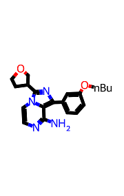 CCCCOc1cccc(-c2nc(C3CCOC3)n3ccnc(N)c23)c1